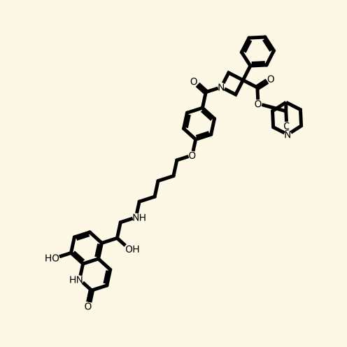 O=C(c1ccc(OCCCCCNCC(O)c2ccc(O)c3[nH]c(=O)ccc23)cc1)N1CC(C(=O)OC2CN3CCC2CC3)(c2ccccc2)C1